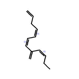 C=CC/C=C\C=C/C(=C)/C=C\CC